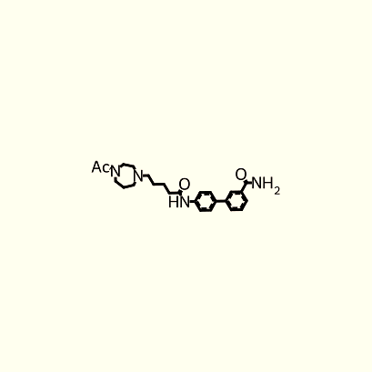 CC(=O)N1CCCN(CCCCC(=O)Nc2ccc(-c3cccc(C(N)=O)c3)cc2)CC1